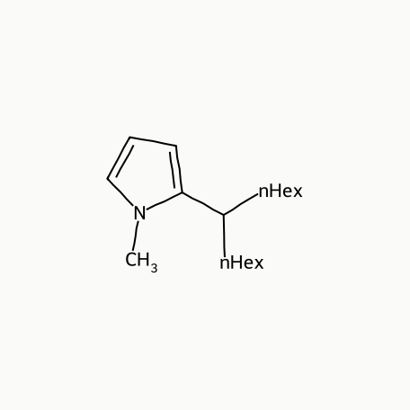 CCCCCCC(CCCCCC)c1cccn1C